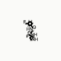 O=C(CNC(=O)c1cccc(CF)c1)NC1(CF)CCNC1